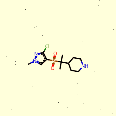 Cn1cc(S(=O)(=O)C(C)(C)C2CCNCC2)c(Cl)n1